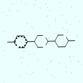 Cc1ccc(C2COC(C3CCC(C)OC3)OC2)cn1